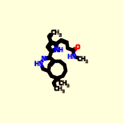 C=Cc1cc(C2=NNCC3C=C2CCCCC(C)(CC)C3)[nH]c1/C=C\CC(=O)NC